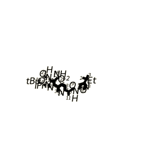 CCC(C)(C)c1cc(NC(=O)C(C)c2ccc(-c3nn(C(C)C)c(NC(=O)OC(C)(C)C)c3C(N)=O)cn2)on1